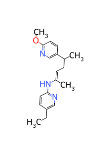 CCc1ccc(N/C(C)=C/CC(C)c2ccc(OC)nc2)nc1